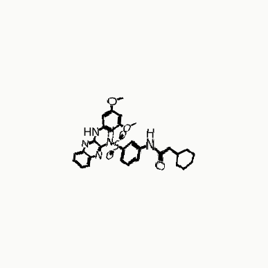 COc1cc(Nc2nc3ccccc3nc2NS(=O)(=O)c2cccc(NC(=O)CC3CCCCC3)c2)cc(OC)c1